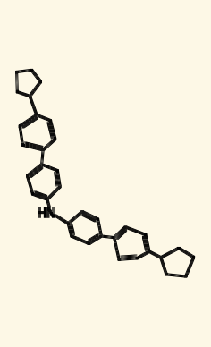 c1cc(-c2ccc(C3CCCC3)cc2)ccc1Nc1ccc(-c2ccc(C3CCCC3)cc2)cc1